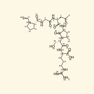 CC(=O)C[C@H](NC(=O)CNC(=O)[C@@H]1CCCN1C=S)C(=O)NC1CC(C)N([C@@H](CO)C(=O)NC(CCCNC(=N)N)C(=O)O)C1=O